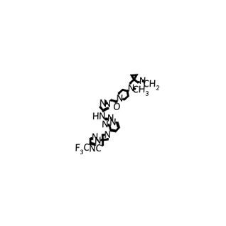 C=NCC1(CN(C)C2CCN(C(=O)Cn3cc(Nc4nc5c(N6CC(CC#N)(n7cc(C(F)(F)F)cn7)C6)cccn5n4)cn3)CC2)CC1